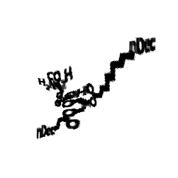 CCCCCCCCCCCCCCCCCCCC(=O)O[C@H](COC(=O)CCCCCCCCCCCC)COP(=O)(O)OC[C@H](N)C(=O)O